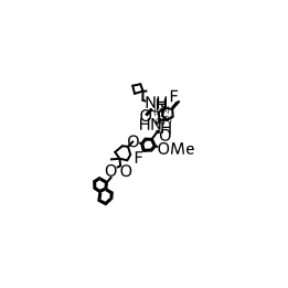 COc1cc(F)c(OC2CCC(C)(C(=O)OCc3cccc4ccccc34)CC2)cc1C(=O)N[C@@H]1[C@H]2CC(=CF)[C@H](C2)[C@@H]1C(=O)NCC1(C)CCC1